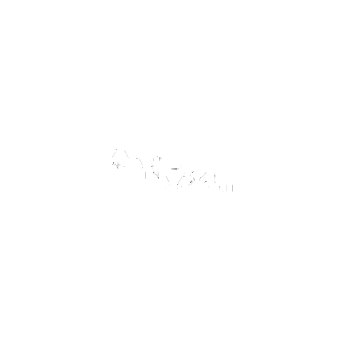 Cc1ccc(S(=O)(=O)c2ccc(NC(=O)/C=C/c3cccnc3)cc2)s1